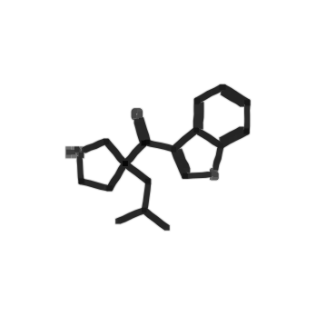 CC(C)CC1(C(=O)c2csc3ccccc23)CCNC1